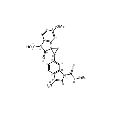 COc1ccc2c(c1)C1(C[C@H]1c1ccc3c(N)nn(C(=O)OC(C)(C)C)c3c1)C(=O)N2C(=O)O